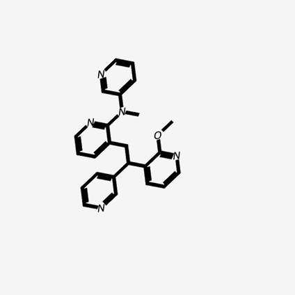 COc1ncccc1C(Cc1cccnc1N(C)c1cccnc1)c1cccnc1